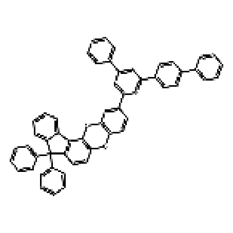 c1ccc(-c2ccc(-c3cc(-c4ccccc4)cc(-c4ccc5c(c4)Oc4c(ccc6c4-c4ccccc4C6(c4ccccc4)c4ccccc4)O5)n3)cc2)cc1